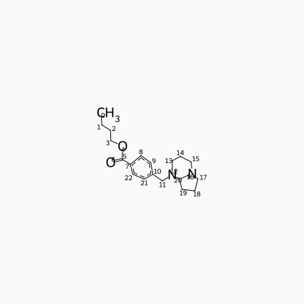 CCCCOC(=O)c1ccc(CN2CCCN3CCCC32)cc1